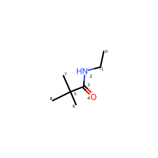 C[CH]NC(=O)C(C)(C)C